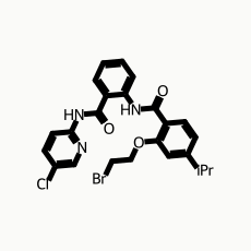 CC(C)c1ccc(C(=O)Nc2ccccc2C(=O)Nc2ccc(Cl)cn2)c(OCCBr)c1